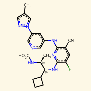 Cc1cnn(-c2cncc(Nc3nc(N[C@H](C4CCC4)[C@H](C)NC(=O)O)c(F)cc3C#N)c2)c1